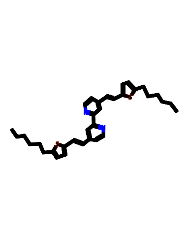 CCCCCCc1ccc(C=Cc2ccnc(-c3cc(C=Cc4ccc(CCCCCC)s4)ccn3)c2)s1